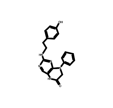 O=C1CN(c2ccccc2)c2nc(NCCc3ccc(O)cc3)ncc2N1